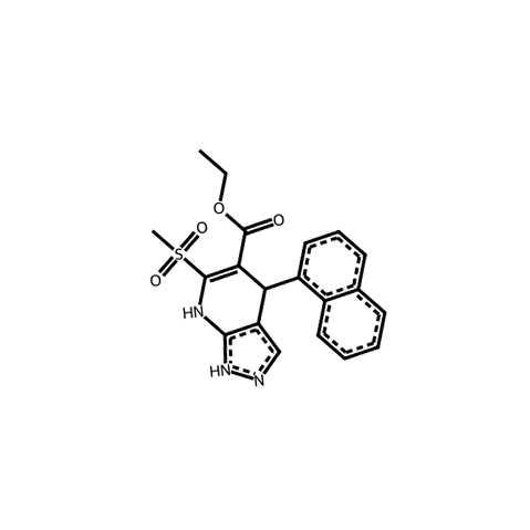 CCOC(=O)C1=C(S(C)(=O)=O)Nc2[nH]ncc2C1c1cccc2ccccc12